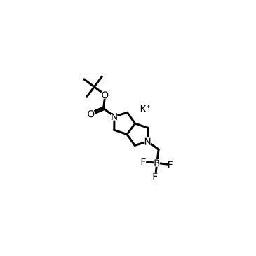 CC(C)(C)OC(=O)N1CC2CN(C[B-](F)(F)F)CC2C1.[K+]